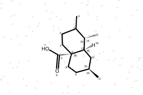 CC1CC[C@]2(C(=O)O)CC[C@H](C)C[C@@H]2[C@H]1C